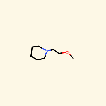 [CH2-][OH+]CCN1CCCCC1